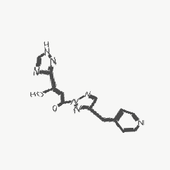 O=C(C=C(O)c1nc[nH]n1)n1ncc(Cc2ccncc2)n1